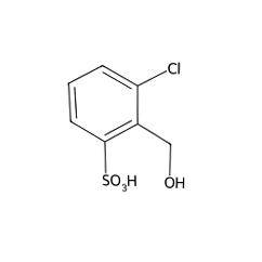 O=S(=O)(O)c1cccc(Cl)c1CO